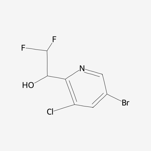 OC(c1ncc(Br)cc1Cl)C(F)F